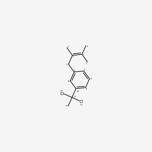 CC(C)=C(C)Cc1cccc(C(C)(Cl)Cl)c1